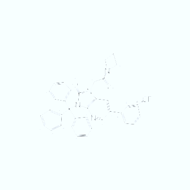 O=C(Cn1c(=O)n(C(c2ccccc2)(c2ccccc2)c2ccccc2)c2ncc(-c3cccc(C(F)(F)F)c3)cc21)N1CCC1